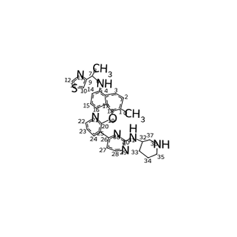 Cc1ccc2c(NC(C)c3cscn3)cccc2c1Oc1ncccc1-c1ccnc(NC2CCCNC2)n1